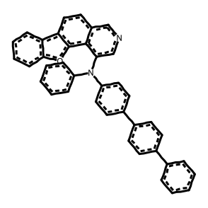 c1ccc(-c2ccc(-c3ccc(N(c4ccccc4)c4cncc5ccc6c7ccccc7oc6c45)cc3)cc2)cc1